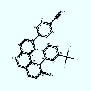 N#Cc1ccc(-c2ccc3ncc4ccc(=O)n(-c5cccc(C(F)(F)F)c5)c4c3n2)cn1